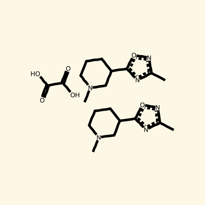 Cc1noc(C2CCCN(C)C2)n1.Cc1noc(C2CCCN(C)C2)n1.O=C(O)C(=O)O